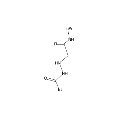 CCCNC(=O)CNNC(=O)CC